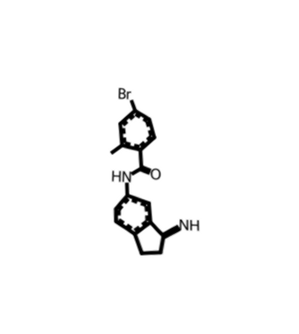 Cc1cc(Br)ccc1C(=O)Nc1ccc2c(c1)C(=N)CC2